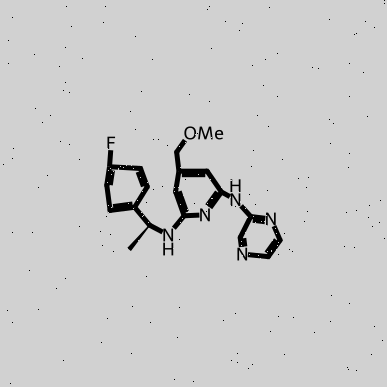 COCc1cc(Nc2cnccn2)nc(N[C@@H](C)c2ccc(F)cc2)c1